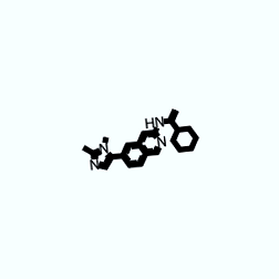 C=C(Nc1cc2cc(-c3cnc(C)n3C)ccc2cn1)C1CCCCC1